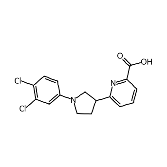 O=C(O)c1cccc(C2CCN(c3ccc(Cl)c(Cl)c3)C2)n1